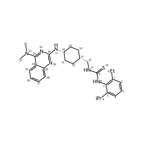 CCc1cccc(C(C)C)c1NC(=S)NC[C@H]1CC[C@@H](Nc2nc(N(C)C)c3ccccc3n2)CC1